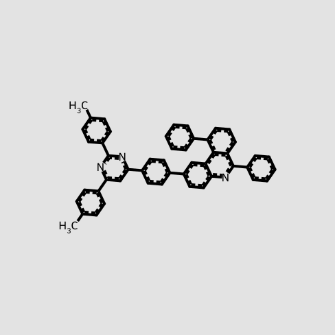 Cc1ccc(-c2cc(-c3ccc(-c4ccc5nc(-c6ccccc6)c6cccc(-c7ccccc7)c6c5c4)cc3)nc(-c3ccc(C)cc3)n2)cc1